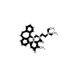 CCN(CC)CCN1CN(C2c3ccccc3CCc3ccccc32)n2ccc(=O)c(C)c2C1=O